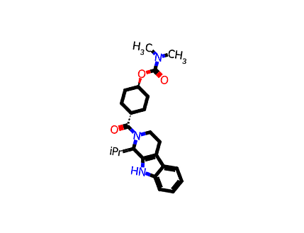 CC(C)C1c2[nH]c3ccccc3c2CCN1C(=O)[C@H]1CC[C@H](OC(=O)N(C)C)CC1